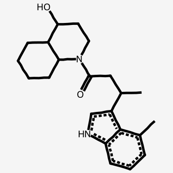 Cc1cccc2[nH]cc(C(C)CC(=O)N3CCC(O)C4CCCCC43)c12